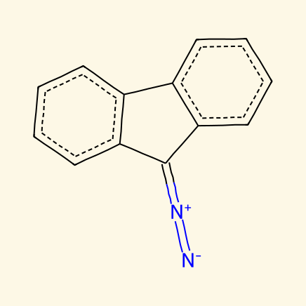 [N-]=[N+]=C1c2ccccc2-c2ccccc21